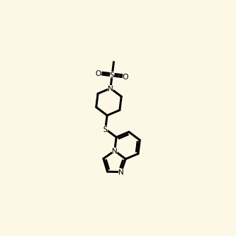 CS(=O)(=O)N1CCC(Sc2cccc3nccn23)CC1